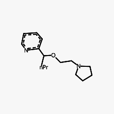 CCCC(OCCN1CCCC1)c1ccccn1